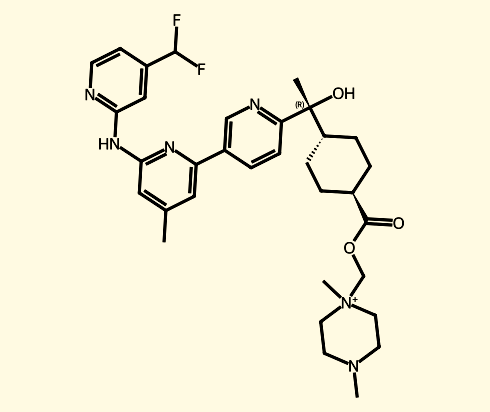 Cc1cc(Nc2cc(C(F)F)ccn2)nc(-c2ccc([C@](C)(O)[C@H]3CC[C@H](C(=O)OC[N+]4(C)CCN(C)CC4)CC3)nc2)c1